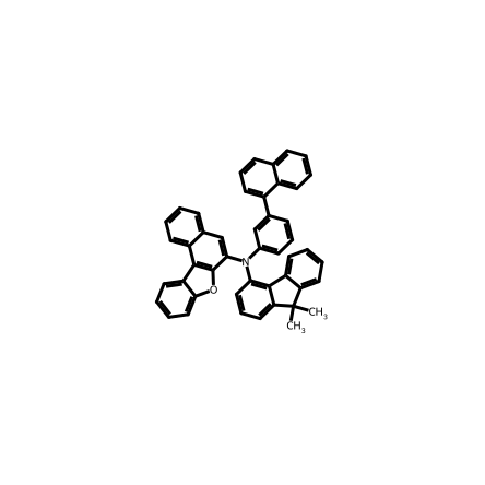 CC1(C)c2ccccc2-c2c(N(c3cccc(-c4cccc5ccccc45)c3)c3cc4ccccc4c4c3oc3ccccc34)cccc21